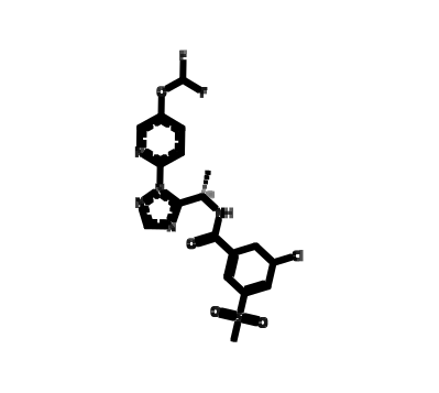 C[C@H](NC(=O)C1=CC(S(C)(=O)=O)=CC(Cl)C1)c1ncnn1-c1ccc(OC(F)F)cn1